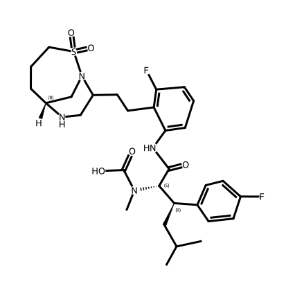 CC(C)C[C@H](c1ccc(F)cc1)[C@@H](C(=O)Nc1cccc(F)c1CCC1CN[C@@H]2CCCS(=O)(=O)N1C2)N(C)C(=O)O